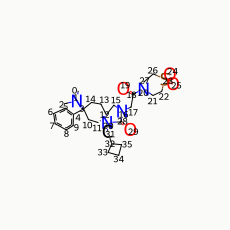 CN(C)[C@]1(c2ccccc2)CC[C@]2(CC1)CN(CC(=O)N1CCS(=O)(=O)CC1)C(=O)N2CC1CCC1